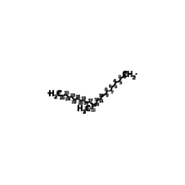 [CH2]CCCCCCCCCCCCCC(CC)CCCCCCCCCC[CH2]